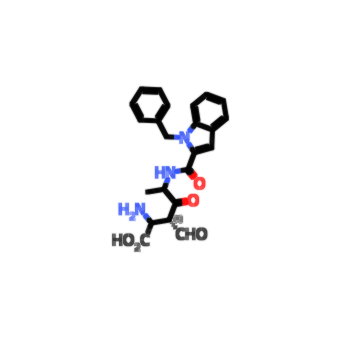 CC(NC(=O)c1cc2ccccc2n1Cc1ccccc1)C(=O)[C@H](C=O)C(N)C(=O)O